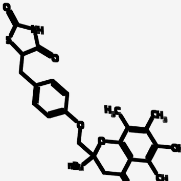 CCCCC1(COc2ccc(CC3SC(=O)NC3=O)cc2)CC(=O)c2c(C)c(O)c(C)c(C)c2O1